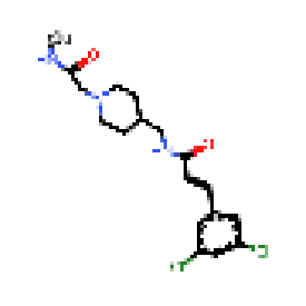 CC(C)(C)NC(=O)CN1CCC(CNC(=O)C=Cc2cc(Cl)cc(Cl)c2)CC1